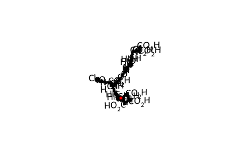 O=C(O)CCC(NC(=O)NC(CCCCNC(=O)Nc1cccc(-c2cn(CCOCCOCCOCCC(=O)NC(CCCCNC(=S)Nc3ccc(CC4CN(CC(=O)O)CCN(CC(=O)O)CCN(CC(=O)O)CCN4CC(=O)O)cc3)C(=O)NC(CCCCNC(=O)Cc3ccc(Cl)cc3)C(=O)O)nn2)c1)C(=O)O)C(=O)O